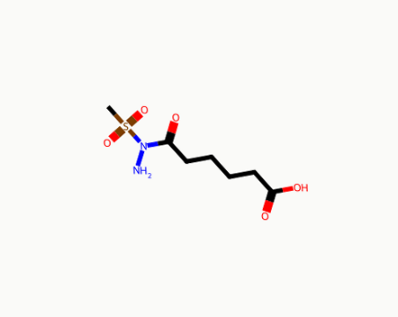 CS(=O)(=O)N(N)C(=O)CCCCC(=O)O